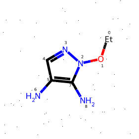 CCOn1ncc(N)c1N